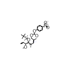 C=CC(OC)[C@@H](O[Si](C)(C)C(C)(C)C)[C@H](C)/C=C(/C)COC(=O)Oc1ccc([N+](=O)[O-])cc1